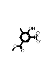 COC(=O)c1cc(C)c(O)c([N+](=O)[O-])c1